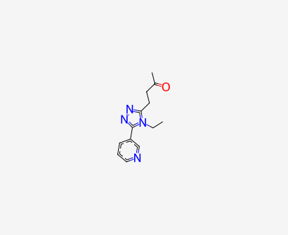 CCn1c(CCC(C)=O)nnc1-c1cccnc1